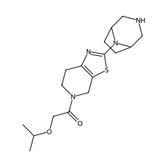 CC(C)OCC(=O)N1CCc2nc(N3C4CCC3CNC4)sc2C1